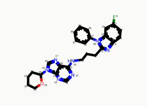 Fc1ccc2nc(CCCNc3ncnc4c3ncn4C3CCCCO3)n(-c3ccccc3)c2c1